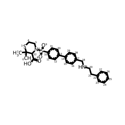 CC1(C)SCCN(S(=O)(=O)c2ccc(-c3ccc(CNCCc4ccccc4)cc3)cc2)C1C(=O)O